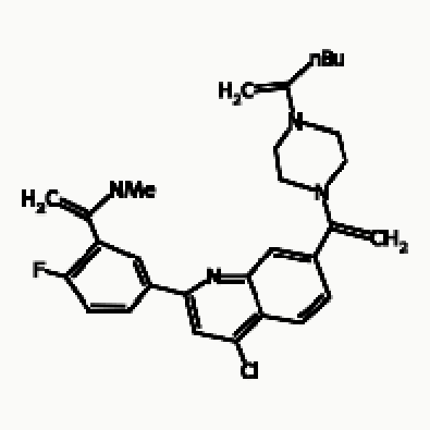 C=C(NC)c1cc(-c2cc(Cl)c3ccc(C(=C)N4CCN(C(=C)CCCC)CC4)cc3n2)ccc1F